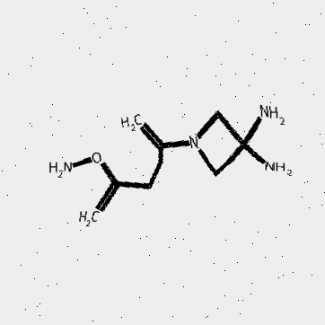 C=C(CC(=C)N1CC(N)(N)C1)ON